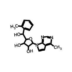 Cc1ccccc1C(O)C1OC(n2ccc3c(C)ncnc32)C(O)C1O